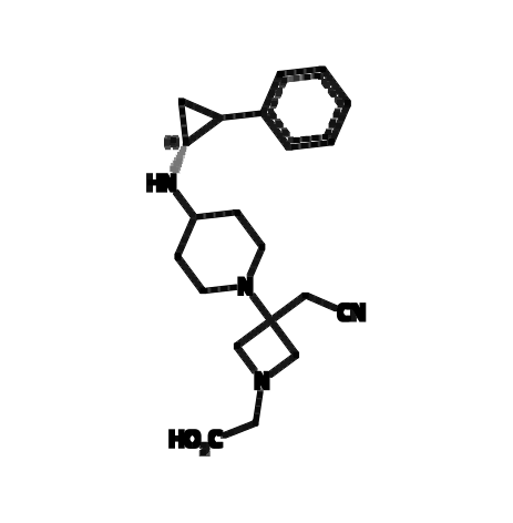 N#CCC1(N2CCC(N[C@@H]3CC3c3ccccc3)CC2)CN(CC(=O)O)C1